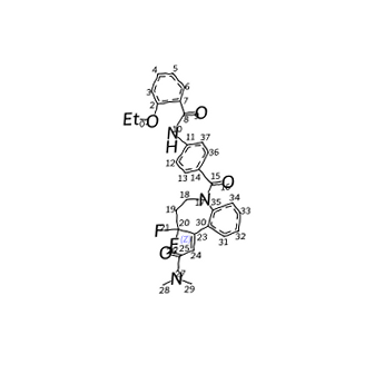 CCOc1ccccc1C(=O)Nc1ccc(C(=O)N2CCC(F)(F)/C(=C\C(=O)N(C)C)c3ccccc32)cc1